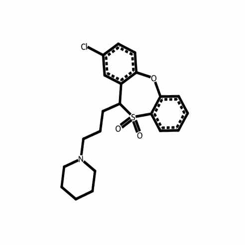 O=S1(=O)c2ccccc2Oc2ccc(Cl)cc2C1CCCN1CCCCC1